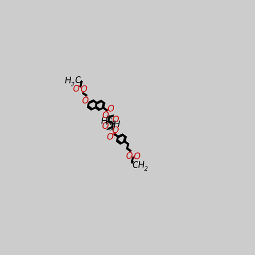 C=CC(=O)OCCCc1ccc(C(=O)O[C@H]2CO[C@H]3[C@@H]2OC[C@H]3OC(=O)c2ccc3cc(OCCOC(=O)C=C)ccc3c2)cc1